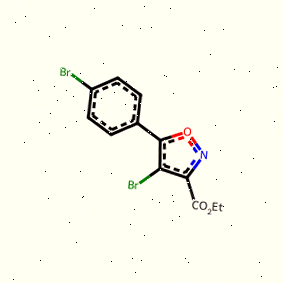 CCOC(=O)c1noc(-c2ccc(Br)cc2)c1Br